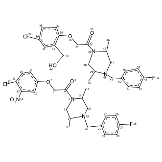 CC1CN(C(=O)COc2ccc(Cl)c([N+](=O)[O-])c2)C(C)CN1Cc1ccc(F)cc1.CC1CN(C(=O)COc2ccc(Cl)cc2CO)C(C)CN1Cc1ccc(F)cc1